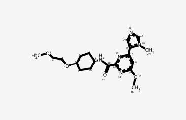 COCCO[C@H]1CC[C@H](NC(=O)c2nc(OC)cc(-c3cncn3C)n2)CC1